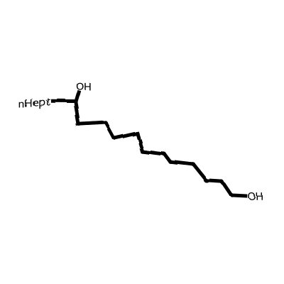 CCCCCCCC(O)CCCCCCCCCCCO